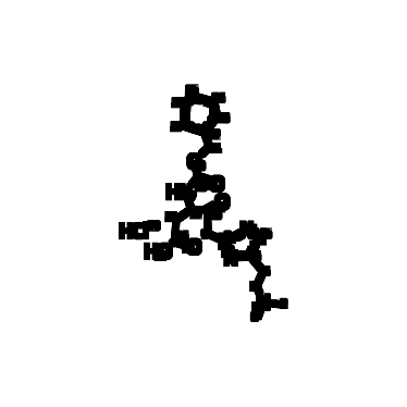 CN(C)CCc1nnn(CC(=O)C(CC(=O)O)NC(=O)OCc2ccccc2)n1.Cl